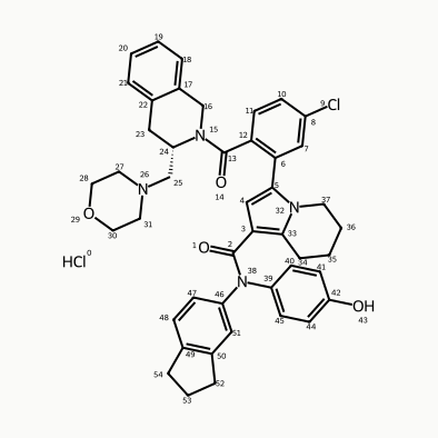 Cl.O=C(c1cc(-c2cc(Cl)ccc2C(=O)N2Cc3ccccc3C[C@H]2CN2CCOCC2)n2c1CCCC2)N(c1ccc(O)cc1)c1ccc2c(c1)CCC2